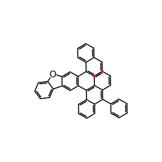 c1ccc(-c2c3ccccc3c(-c3cc4c(cc3-c3cccc5ccccc35)oc3ccccc34)c3ccccc23)cc1